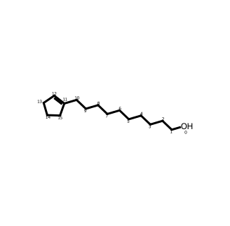 OCCCCCCCCCCC1=CCCC1